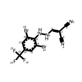 N#CC(C#N)=CNNc1c(Br)cc(C(F)(F)F)cc1Br